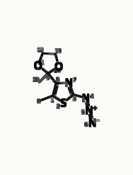 Cc1sc(N=[N+]=[N-])nc1C1(C)OCCO1